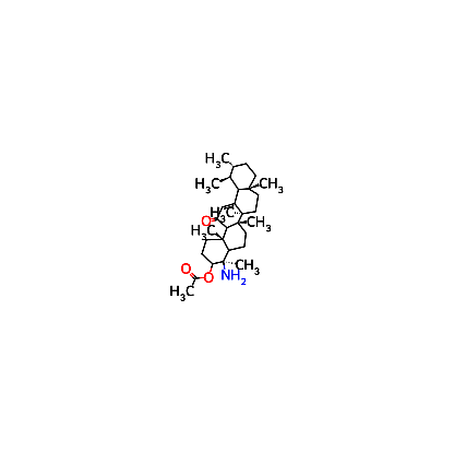 CC(=O)OC1CC[C@@]2(C)C(CC[C@]3(C)C2C(=O)C=C2C4[C@@H](C)[C@H](C)CC[C@]4(C)CC[C@]23C)[C@@]1(C)N